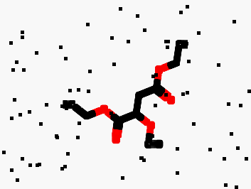 N#CCOC(=O)CC(OC=O)C(=O)OCC#N